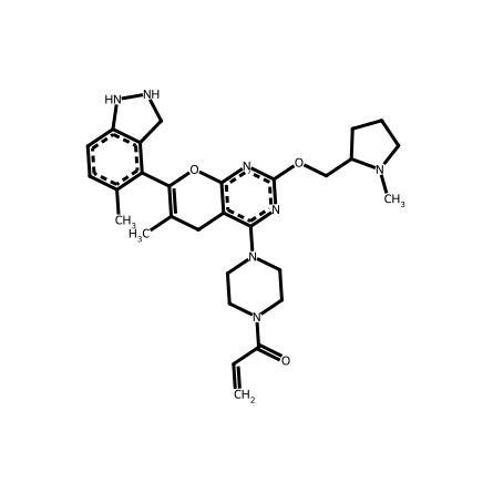 C=CC(=O)N1CCN(c2nc(OCC3CCCN3C)nc3c2CC(C)=C(c2c(C)ccc4c2CNN4)O3)CC1